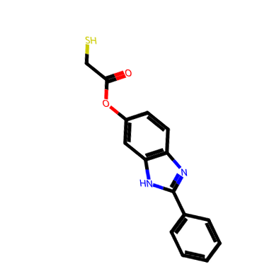 O=C(CS)Oc1ccc2nc(-c3ccccc3)[nH]c2c1